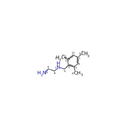 Cc1cc(C)c(CNCCN)c(C)c1